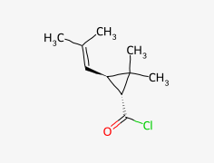 CC(C)=C[C@@H]1[C@@H](C(=O)Cl)C1(C)C